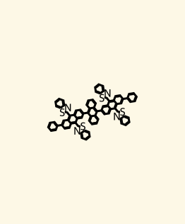 c1ccc(-c2ccc3c(-c4nc5ccccc5s4)c4cc(-c5c6ccccc6c(-c6ccc7c(-c8nc9ccccc9s8)c8cc(-c9ccccc9)ccc8c(-c8nc9ccccc9s8)c7c6)c6ccccc56)ccc4c(-c4nc5ccccc5s4)c3c2)cc1